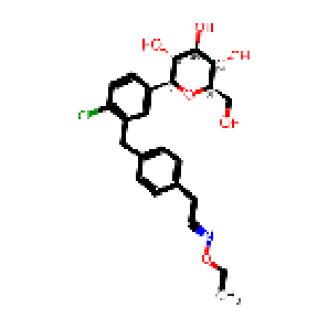 CCON=CCc1ccc(Cc2cc([C@@H]3O[C@H](CO)[C@@H](O)[C@H](O)[C@H]3O)ccc2Cl)cc1